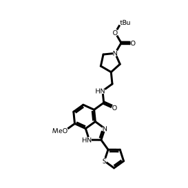 COc1ccc(C(=O)NCC2CCN(C(=O)OC(C)(C)C)C2)c2nc(-c3cccs3)[nH]c12